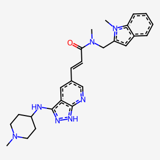 CN1CCC(Nc2n[nH]c3ncc(C=CC(=O)N(C)Cc4cc5ccccc5n4C)cc23)CC1